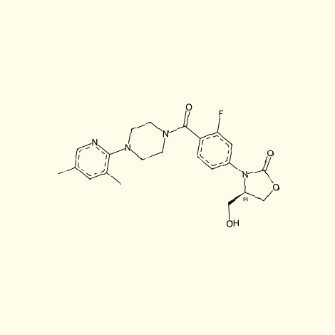 Cc1cnc(N2CCN(C(=O)c3ccc(N4C(=O)OC[C@H]4CO)cc3F)CC2)c(C)c1